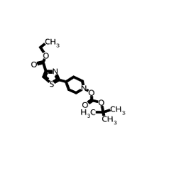 CCOC(=O)c1csc(C2CCN(OC(=O)OC(C)(C)C)CC2)n1